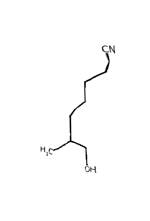 CC(CO)CCCCC#N